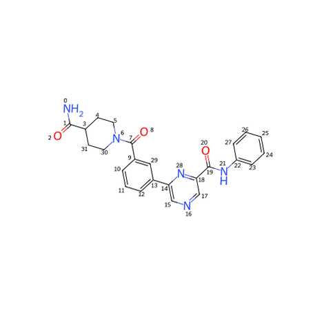 NC(=O)C1CCN(C(=O)c2cccc(-c3cncc(C(=O)Nc4ccccc4)n3)c2)CC1